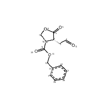 O=CC[C@H]1C(=O)OCN1C(=O)OCc1ccccc1